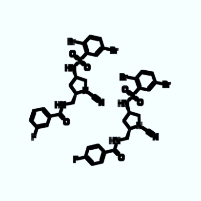 N#CN1C[C@H](NS(=O)(=O)c2cc(Br)ccc2Br)C[C@@H]1CNC(=O)c1ccc(F)cc1.N#CN1C[C@H](NS(=O)(=O)c2cc(Br)ccc2Br)C[C@@H]1CNC(=O)c1cccc(F)c1